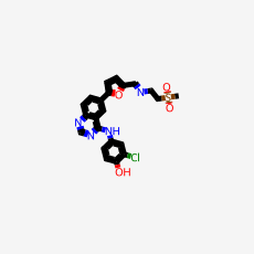 CS(=O)(=O)CCN=Cc1ccc(-c2ccc3ncnc(Nc4ccc(O)c(Cl)c4)c3c2)o1